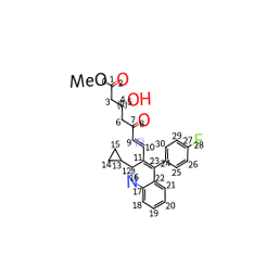 COC(=O)C[C@H](O)CC(=O)/C=C/c1c(C2CC2)nc2ccccc2c1-c1ccc(F)cc1